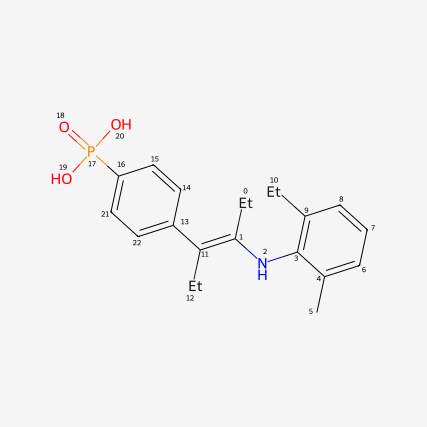 CCC(Nc1c(C)cccc1CC)=C(CC)c1ccc(P(=O)(O)O)cc1